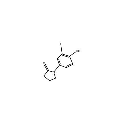 O=C1OCCN1c1ccc(O)c(F)c1